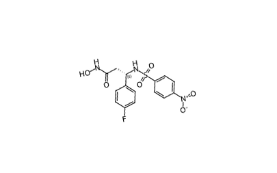 O=C(C[C@H](NS(=O)(=O)c1ccc([N+](=O)[O-])cc1)c1ccc(F)cc1)NO